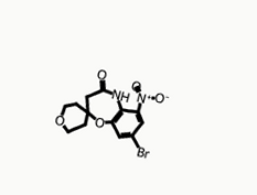 O=C1CC2(CCOCC2)Oc2cc(Br)cc([N+](=O)[O-])c2N1